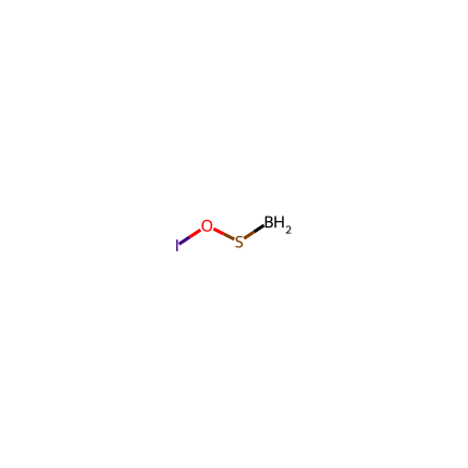 BSOI